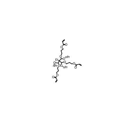 C=CC(=O)OCCCOC(OCCC)C(CC)(C(OCCC)OCCCOC(=O)C=C)C(OCCC)OCCCOC(=O)C=C